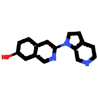 Oc1ccc2cc(-n3ccc4ccncc43)ncc2c1